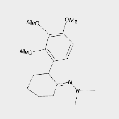 COc1ccc(C2CCCCC2=NN(C)C)c(OC)c1OC